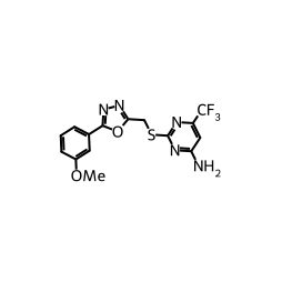 COc1cccc(-c2nnc(CSc3nc(N)cc(C(F)(F)F)n3)o2)c1